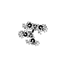 CN1C(C)(C)CC(Oc2nc(NCCNc3nc(OC4CC(C)(C)N(C)C(C)(C)C4)nc(OC4CC(C)(C)N(C)C(C)(C)C4)n3)nc(OC3CC(C)(C)N(C)C(C)(C)C3)n2)CC1(C)C